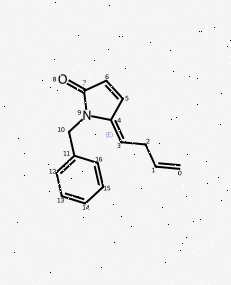 C=CC/C=C1\C=CC(=O)N1Cc1ccccc1